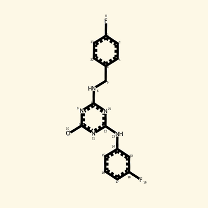 Fc1ccc(CNc2nc(Cl)nc(Nc3cccc(F)c3)n2)cc1